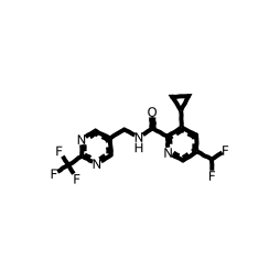 O=C(NCc1cnc(C(F)(F)F)nc1)c1ncc(C(F)F)cc1C1CC1